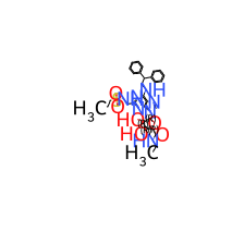 CCCS(=O)(=O)NCc1nc(NCC(c2ccccc2)c2ccccc2)c2ncn([C@@H]3O[C@@H](C(=O)NCC)[C@H](O)[C@H]3O)c2n1